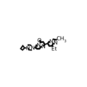 CCc1cc(-c2cc(=O)n3cc(N4CCN(C5CCC5)CC4)ccc3n2)cn2cc(C)nc12